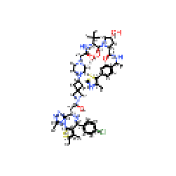 Cc1ncsc1-c1ccc([C@H](C)NC(=O)[C@@H]2C[C@@H](O)CN2C(=O)[C@@H](NC(=O)CN2CCN(C3CC4(C3)CN(C(=O)C[C@@H]3N=C(c5ccc(Cl)cc5)c5c(sc(C)c5C)-n5c(C)nnc53)C4)C[C@H]2C)C(C)(C)C)cc1